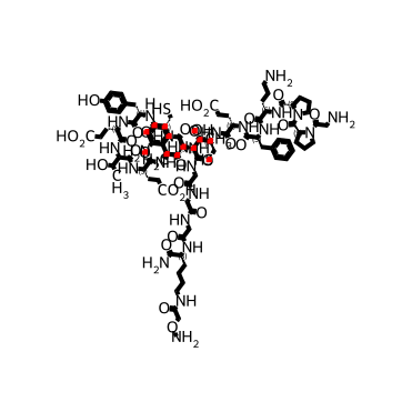 C=C(C[C@H](NC(=O)[C@H](CS)NC(=O)[C@H](CCC(=O)O)NC(=O)[C@H](Cc1ccccc1)NC(=O)[C@H](CCCN)NC(=O)[C@@H]1CCCN1C(=O)[C@@H]1CCCN1C(=O)CN)C(=O)N[C@@H](CS)C(=O)N[C@@H](Cc1ccc(O)cc1)C(=O)N[C@@H](CCC(=O)O)C(=O)NC(C(=O)N[C@@H](CCC(=O)O)C(=O)NCC(=O)N[C@H](C(=O)NCC(=O)NCC(=O)NCC(=O)N[C@@H](CCCCNC(=O)CON)C(N)=O)C(C)O)C(C)O)c1ccccc1N